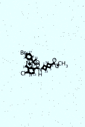 COC(=O)C1CC2(CC(NC(=O)c3ccc(Cl)c4cnn(C5(c6ccc(Br)cc6)COC5)c34)C2)C1